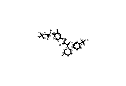 Cc1cc(NC(=O)C(=O)N2C[C@H](C)CC[C@H]2c2ccc(C(F)(F)F)cc2)cnc1NC(=O)OC(C)(C)C